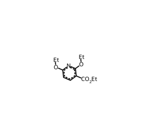 CCOC(=O)c1ccc(OCC)nc1OCC